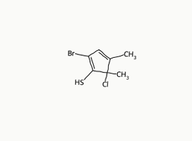 CC1=CC(Br)=C(S)C1(C)Cl